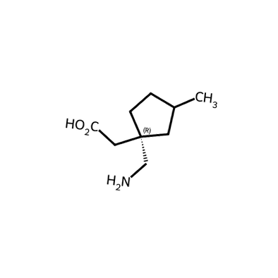 CC1CC[C@](CN)(CC(=O)O)C1